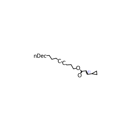 CCCCCCCCCCCCCCCCCCOC(=O)/C=C/C1CC1